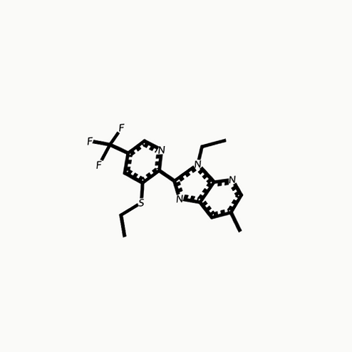 CCSc1cc(C(F)(F)F)cnc1-c1nc2cc(C)cnc2n1CC